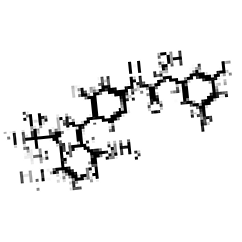 [2H]C([2H])([2H])c1nc(-c2ccc(NC(=O)[C@@H](O)c3cc(F)cc(F)c3)cc2F)c2c(N)ncc(C)n12